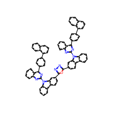 c1ccc2c(-c3ccc(-c4nc(-n5c6ccccc6c6ccc(-c7nnc(-c8ccc9c%10ccccc%10n(-c%10nc(-c%11ccc(-c%12cccc%13ccccc%12%13)cc%11)c%11ccccc%11n%10)c9c8)o7)cc65)nc5ccccc45)cc3)cccc2c1